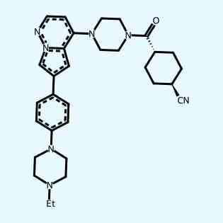 CCN1CCN(c2ccc(-c3cc4c(N5CCN(C(=O)[C@H]6CC[C@H](C#N)CC6)CC5)ccnn4c3)cc2)CC1